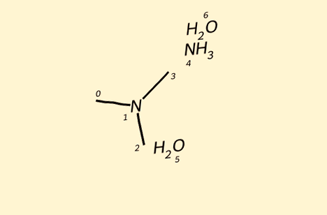 CN(C)C.N.O.O